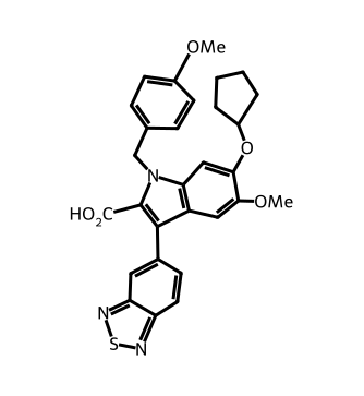 COc1ccc(Cn2c(C(=O)O)c(-c3ccc4nsnc4c3)c3cc(OC)c(OC4CCCC4)cc32)cc1